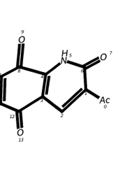 CC(=O)c1cc2c([nH]c1=O)C(=O)C=CC2=O